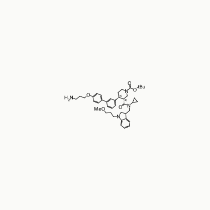 COCCCN1CC(CN(C(=O)[C@H]2CN(C(=O)OC(C)(C)C)CC[C@@H]2c2cccc(-c3ccc(OCCCN)cc3)c2)C2CC2)c2ccccc21